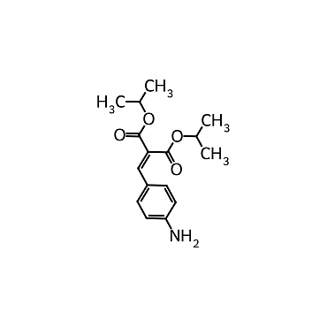 CC(C)OC(=O)C(=Cc1ccc(N)cc1)C(=O)OC(C)C